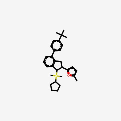 Cc1ccc(C2Cc3c(-c4ccc(C(C)(C)C)cc4)cccc3C2S(C)(C)C2CCCC2)o1